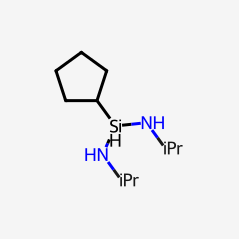 CC(C)N[SiH](NC(C)C)C1CCCC1